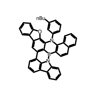 CCCCc1cccc(N2c3c(ccc4ccccc34)B3c4c(cc5c(oc6ccccc65)c42)-c2cccc4c5ccccc5n3c24)c1